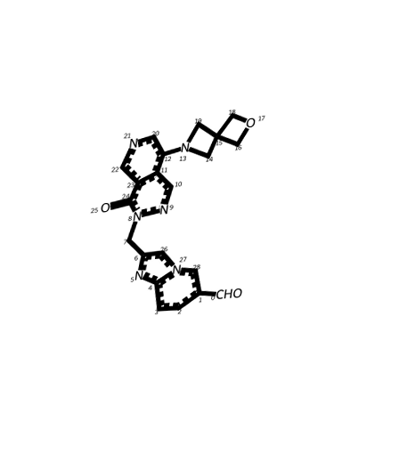 O=Cc1ccc2nc(Cn3ncc4c(N5CC6(COC6)C5)cncc4c3=O)cn2c1